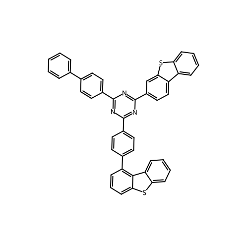 c1ccc(-c2ccc(-c3nc(-c4ccc(-c5cccc6sc7ccccc7c56)cc4)nc(-c4ccc5c(c4)sc4ccccc45)n3)cc2)cc1